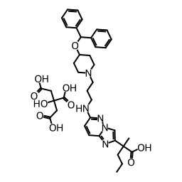 CCCC(C)(C(=O)O)c1cn2nc(NCCCN3CCC(OC(c4ccccc4)c4ccccc4)CC3)ccc2n1.O=C(O)CC(O)(CC(=O)O)C(=O)O